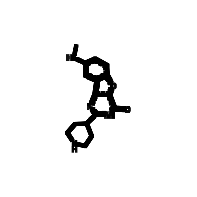 CBc1ccc2oc3c(=O)[nH]c(C4CCNCC4)nc3c2c1